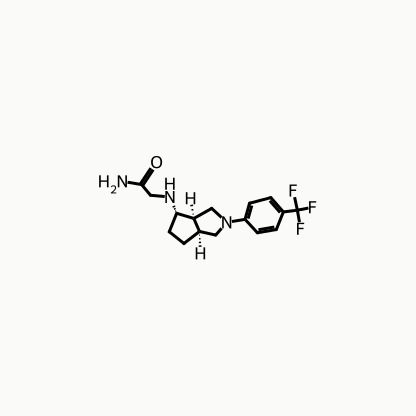 NC(=O)CN[C@H]1CC[C@@H]2CN(c3ccc(C(F)(F)F)cc3)C[C@@H]21